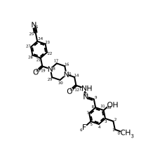 CCCc1cc(F)cc(/C=N/NC(=O)CN2CCN(C(=O)c3ccc(C#N)cc3)CC2)c1O